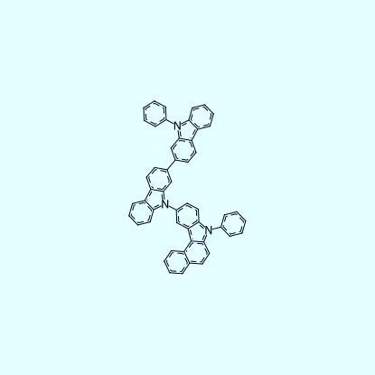 c1ccc(-n2c3ccccc3c3ccc(-c4ccc5c6ccccc6n(-c6ccc7c(c6)c6c8ccccc8ccc6n7-c6ccccc6)c5c4)cc32)cc1